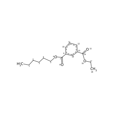 CCCCCCOC(=O)c1cccc(C(=O)OCC)c1